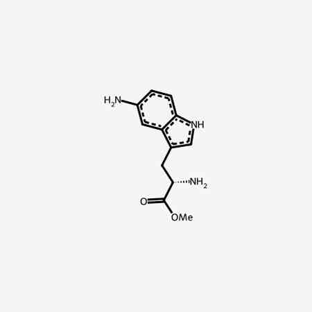 COC(=O)[C@@H](N)Cc1c[nH]c2ccc(N)cc12